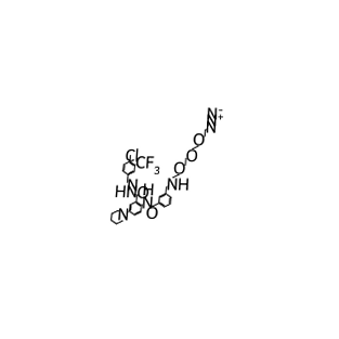 [N-]=[N+]=NCCOCCOCCOCCNCc1cccc(C(=O)Nc2ccc(N3CCCCC3)cc2C(=O)NN=Cc2ccc(Cl)c(C(F)(F)F)c2)c1